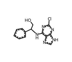 OCC(Nc1nc(Cl)nc2[nH]cnc12)c1ccccc1